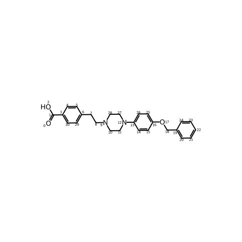 O=C(O)c1ccc(CCN2CCN(c3ccc(OCc4ccccc4)cc3)CC2)cc1